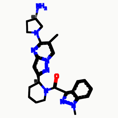 Cc1cn2nc([C@@H]3CCCCN3C(=O)c3nn(C)c4ccccc34)cc2nc1N1CC[C@H](N)C1